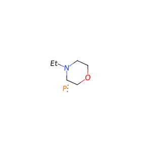 CCN1CCOCC1.[P]